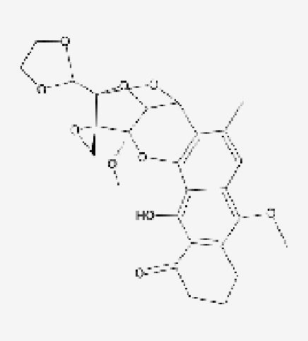 COc1c2c(c(O)c3c4c(c(C)cc13)C1OC3(C5OCCO5)OC1[C@@](OC)(O4)[C@@]31CO1)C(=O)CCC2